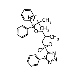 C[C@H](CO[Si](c1ccccc1)(c1ccccc1)C(C)(C)C)CS(=O)(=O)c1nnnn1-c1ccccc1